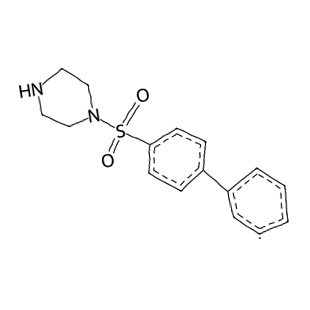 O=S(=O)(c1ccc(-c2c[c]ccc2)cc1)N1CCNCC1